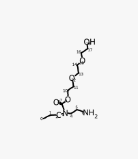 CCCN(CCN)C(=O)OCCOCCOCCO